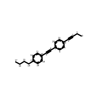 CCC#Cc1ccc(C#Cc2ccc(CCCC)cc2)cc1